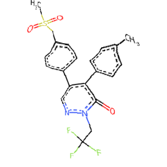 Cc1ccc(-c2c(-c3ccc(S(C)(=O)=O)cc3)cnn(CC(F)(F)F)c2=O)cc1